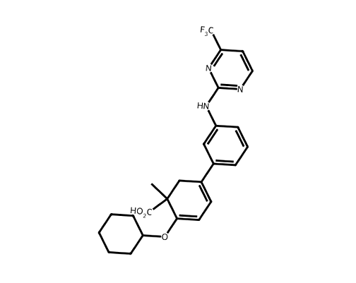 CC1(C(=O)O)CC(c2cccc(Nc3nccc(C(F)(F)F)n3)c2)=CC=C1OC1CCCCC1